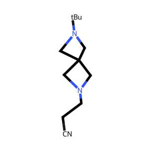 CC(C)(C)N1CC2(CN(CCC#N)C2)C1